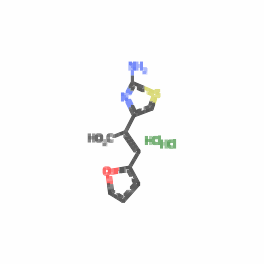 Cl.Cl.Nc1nc(C(=Cc2ccco2)C(=O)O)cs1